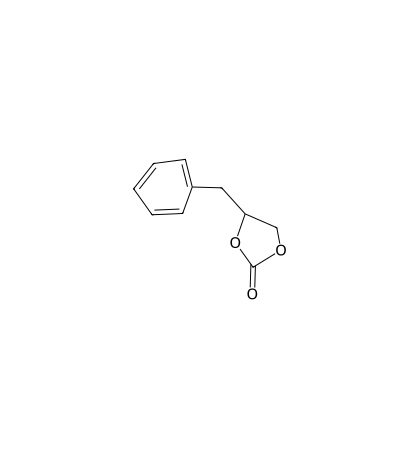 O=C1OCC(Cc2ccccc2)O1